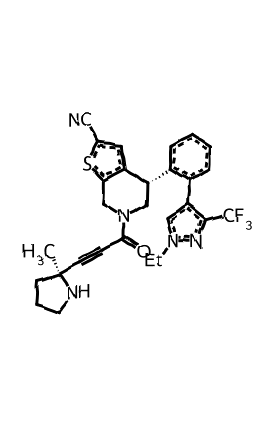 CCn1cc(-c2ccccc2[C@@H]2CN(C(=O)C#C[C@]3(C)CCCN3)Cc3sc(C#N)cc32)c(C(F)(F)F)n1